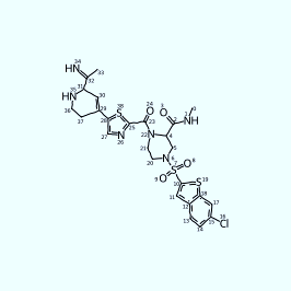 CNC(=O)C1CN(S(=O)(=O)c2cc3ccc(Cl)cc3s2)CCN1C(=O)c1ncc(C2=CC(C(C)=N)NCC2)s1